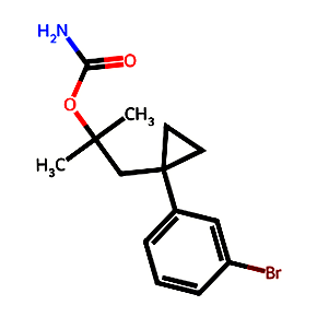 CC(C)(CC1(c2cccc(Br)c2)CC1)OC(N)=O